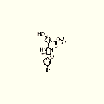 CC(C)(C)OC(=O)N1C[C@H](O)CC1C1=NC(=O)[C@](C)(c2ccc(Br)cc2)N1